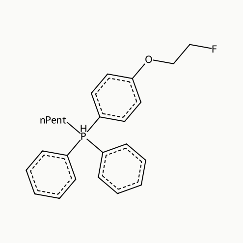 CCCCC[PH](c1ccccc1)(c1ccccc1)c1ccc(OCCF)cc1